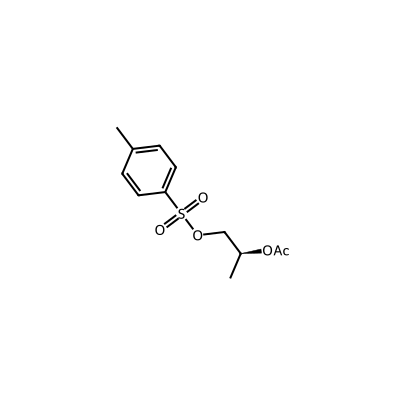 CC(=O)O[C@@H](C)COS(=O)(=O)c1ccc(C)cc1